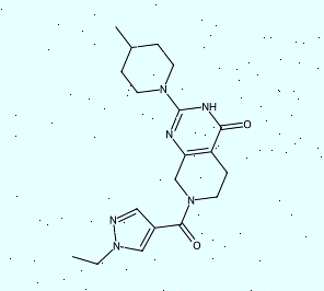 CCn1cc(C(=O)N2CCc3c(nc(N4CCC(C)CC4)[nH]c3=O)C2)cn1